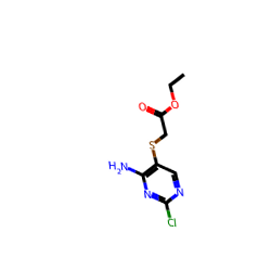 CCOC(=O)CSc1cnc(Cl)nc1N